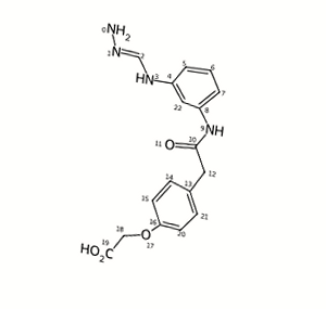 NN=CNc1cccc(NC(=O)Cc2ccc(OCC(=O)O)cc2)c1